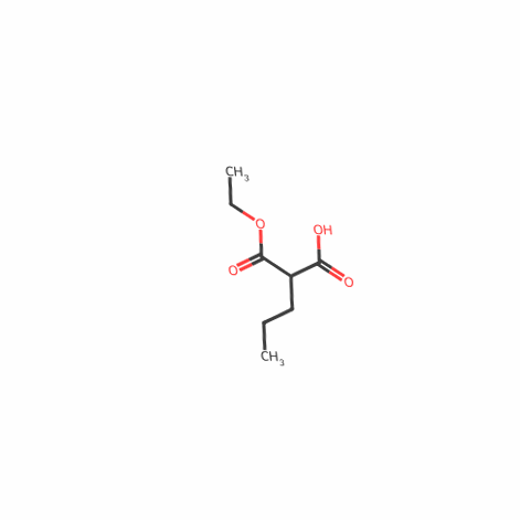 CCCC(C(=O)O)C(=O)OCC